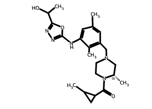 Cc1cc(CN2CCN(C(=O)C3CC3C)[C@@H](C)C2)c(C)c(Nc2nnc(C(C)O)o2)c1